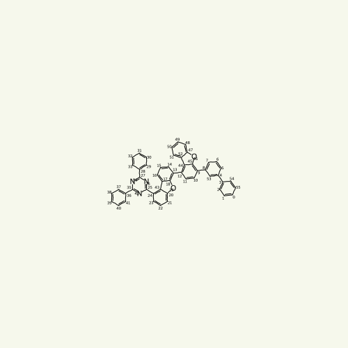 c1ccc(-c2cccc(-c3ccc(-c4cccc5c4oc4cccc(-c6nc(-c7ccccc7)nc(-c7ccccc7)n6)c45)c4c3oc3ccccc34)c2)cc1